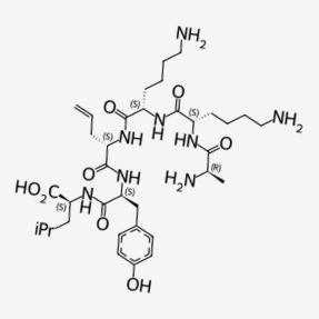 C=CC[C@H](NC(=O)[C@H](CCCCN)NC(=O)[C@H](CCCCN)NC(=O)[C@@H](C)N)C(=O)N[C@@H](Cc1ccc(O)cc1)C(=O)N[C@@H](CC(C)C)C(=O)O